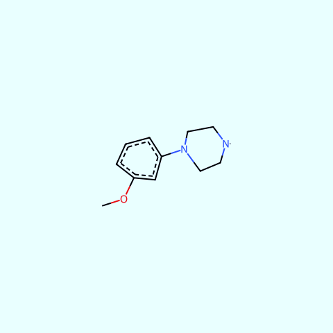 COc1cccc(N2CC[N]CC2)c1